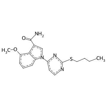 CCCCSc1nccc(-n2cc(C(N)=O)c3c(OC)cccc32)n1